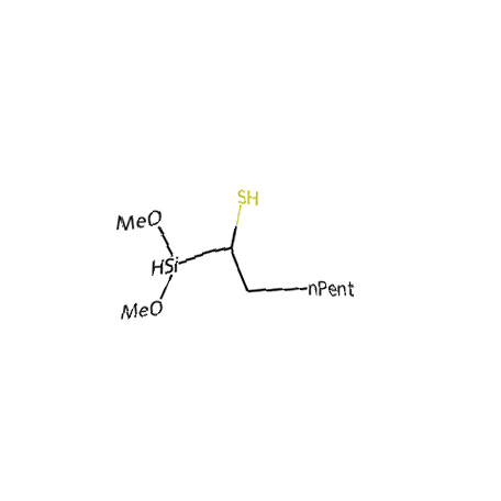 CCCCCCC(S)[SiH](OC)OC